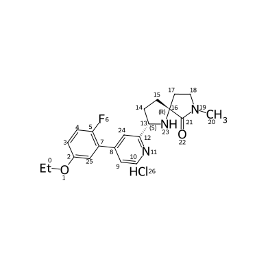 CCOc1ccc(F)c(-c2ccnc([C@@H]3CC[C@]4(CCN(C)C4=O)N3)c2)c1.Cl